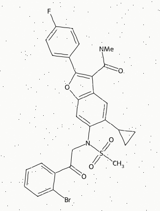 CNC(=O)c1c(-c2ccc(F)cc2)oc2cc(N(CC(=O)c3ccccc3Br)S(C)(=O)=O)c(C3CC3)cc12